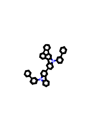 c1ccc(-c2cccc(-n3c4ccccc4c4cc(-c5ccc6c(c5)c5c7cccc8c7c(cc5n6-c5cccc(-c6ccccc6)c5)-c5ccccc5-8)ccc43)c2)cc1